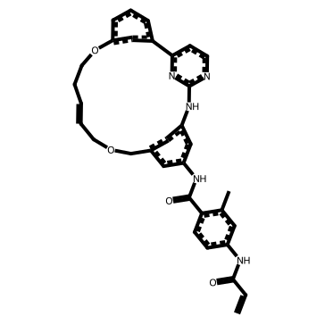 C=CC(=O)Nc1ccc(C(=O)Nc2cc3cc(c2)Nc2nccc(n2)-c2cccc(c2)OCC/C=C/COC3)c(C)c1